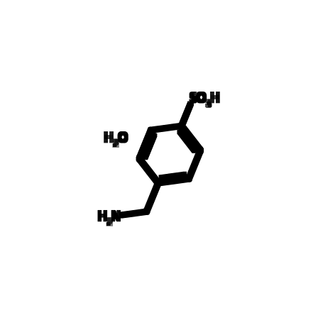 NCc1ccc(S(=O)(=O)O)cc1.O